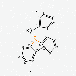 Cc1ccccc1-c1cccc2c1[pH]c1ccccc12